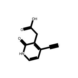 [C]#Cc1cc[nH]c(=O)c1CC(=O)O